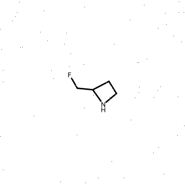 FCC1CCN1